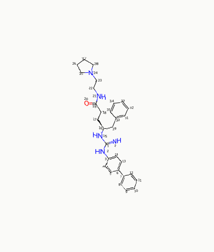 N=C(Nc1ccc(-c2ccccc2)cc1)N[C@@H](CCC(=O)NCCN1CCCC1)Cc1ccccc1